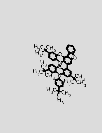 CC(C)(C)c1ccc(N2c3cc(C(C)(C)C)ccc3B3c4c(cc(C(C)(C)C)cc42)-c2cc4oc5ccccc5c4c4c2N3c2ccc(C(C)(C)C)cc2O4)cc1